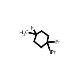 CC(C)C1(C(C)C)CCC(C)(F)CC1